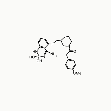 COc1ccc(CC(=O)N2CCC[C@H](COc3cccc4c3C(N)=NS(O)(O)N4)C2)cc1